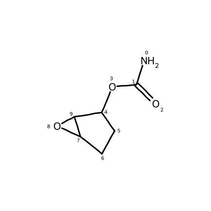 NC(=O)OC1CCC2OC12